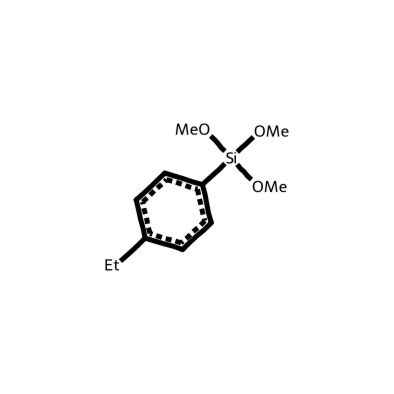 CCc1ccc([Si](OC)(OC)OC)cc1